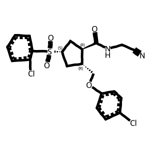 N#CCNC(=O)[C@@H]1C[C@@H](S(=O)(=O)c2ccccc2Cl)C[C@H]1COc1ccc(Cl)cc1